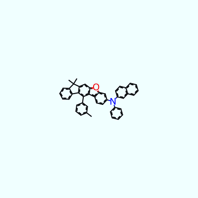 Cc1cccc(-c2c3c(cc4oc5cc(N(c6ccccc6)c6ccc7ccccc7c6)ccc5c24)C(C)(C)c2ccccc2-3)c1